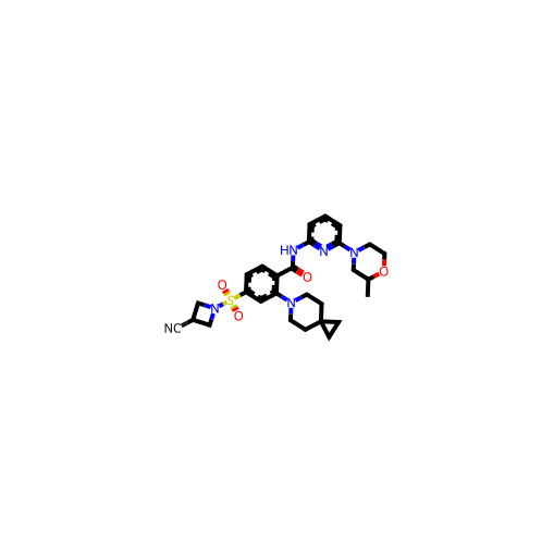 CC1CN(c2cccc(NC(=O)c3ccc(S(=O)(=O)N4CC(C#N)C4)cc3N3CCC4(CC3)CC4)n2)CCO1